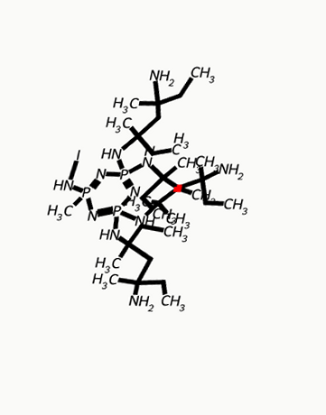 CCC(C)(N)CC(C)(CC)NP1(NC(C)(C)CC)=NP(C)(NI)=NP(NC(C)(CC)CC(C)(N)CC)(NC(C)(CC)CC(C)(N)CC)=N1